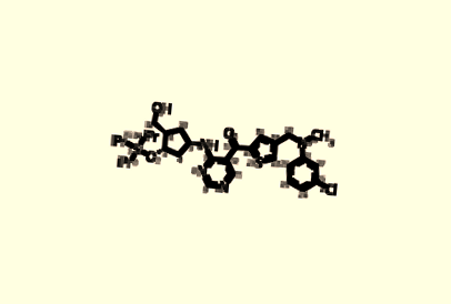 CC(C)[Si](O[C@H]1C[C@H](Nc2ncncc2C(=O)c2cc(CN(C)c3cccc(Cl)c3)cs2)C[C@@H]1CO)(C(C)C)C(C)C